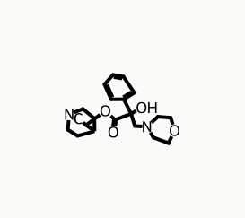 O=C(OC1CN2CCC1CC2)C(O)(CN1CCOCC1)c1ccccc1